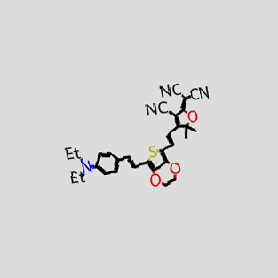 CCN(CC)c1ccc(/C=C/c2sc(/C=C/C3=C(C#N)C(=C(C#N)C#N)OC3(C)C)c3c2OCCO3)cc1